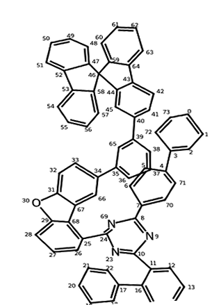 c1ccc(-c2ccc(-c3nc(-c4ccccc4-c4ccccc4)nc(-c4cccc5oc6ccc(-c7cccc(-c8ccc9c(c8)C8(c%10ccccc%10-c%10ccccc%108)c8ccccc8-9)c7)cc6c45)n3)cc2)cc1